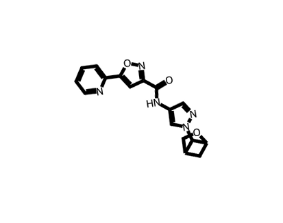 O=C(Nc1cnn(C2C3COC2C3)c1)c1cc(-c2ccccn2)on1